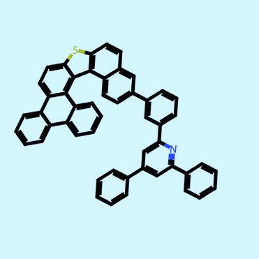 c1ccc(-c2cc(-c3ccccc3)nc(-c3cccc(-c4ccc5c(ccc6sc7ccc8c9ccccc9c9ccccc9c8c7c65)c4)c3)c2)cc1